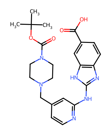 CC(C)(C)OC(=O)N1CCN(Cc2ccnc(Nc3nc4ccc(C(=O)O)cc4[nH]3)c2)CC1